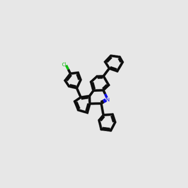 Clc1ccc(-c2cccc3c(-c4ccccc4)nc4cc(-c5ccccc5)ccc4c23)cc1